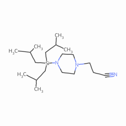 CC(C)C[Si](CC(C)C)(CC(C)C)N1CCN(CCC#N)CC1